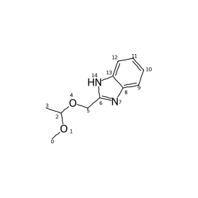 COC(C)OCc1nc2ccccc2[nH]1